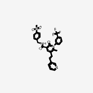 Cc1c(CCc2cccnc2)cc(C(=O)NCc2ccc(S(C)(=O)=O)cc2)c(=O)n1-c1cccc(C(F)(F)F)c1